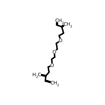 C=CC(=C)CCOCCOCCOCCC(=C)C=C